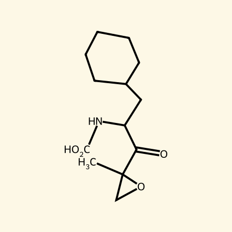 CC1(C(=O)C(CC2CCCCC2)NC(=O)O)CO1